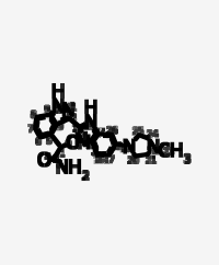 CC(C(N)=O)c1cccc2[nH]nc(-c3nc4ccc(N5CCN(C)CC5)cc4[nH]3)c12